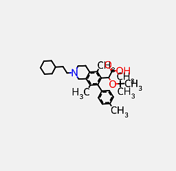 Cc1ccc(-c2c(C)c3c(c(C)c2[C@H](OC(C)(C)C)C(=O)O)CCN(CCC2CCCCC2)C3)cc1